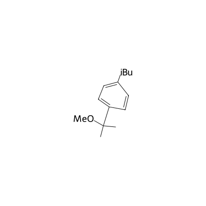 CCC(C)c1ccc(C(C)(C)OC)cc1